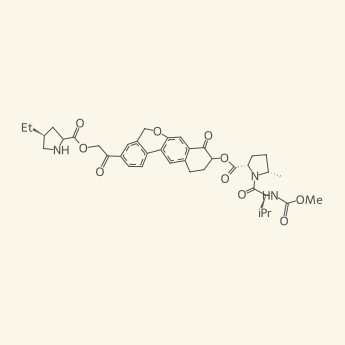 CC[C@@H]1CNC(C(=O)OCC(=O)c2ccc3c(c2)COc2cc4c(cc2-3)CCC(OC(=O)[C@@H]2CC[C@H](C)N2C(=O)[C@@H](NC(=O)OC)C(C)C)C4=O)C1